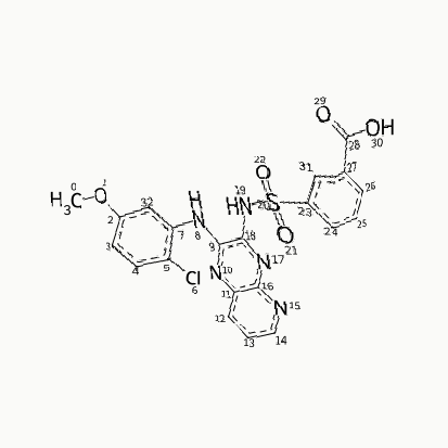 COc1ccc(Cl)c(Nc2nc3cccnc3nc2NS(=O)(=O)c2cccc(C(=O)O)c2)c1